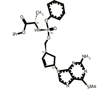 CSc1nc(N)nc2c1ncn2[C@H]1C=C[C@@H](CO[P@](=O)(N[C@@H](C)C(=O)OC(C)C)Oc2ccccc2)C1